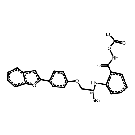 CCCC[C@@H](COc1ccc(-c2cc3ccccc3o2)cc1)Nc1ccccc1C(=O)NOC(=O)CC